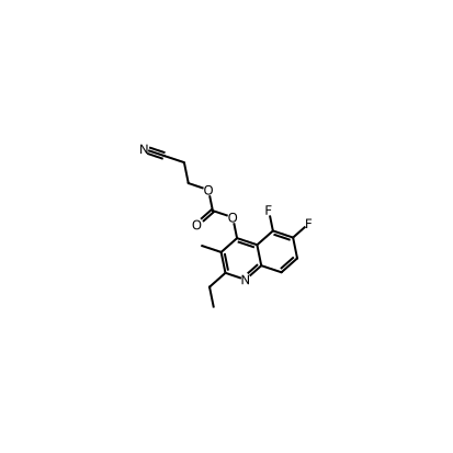 CCc1nc2ccc(F)c(F)c2c(OC(=O)OCCC#N)c1C